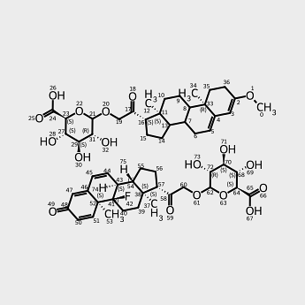 COC1=CC2=CCC3C(CC[C@@]4(C)C3CC[C@@H]4C(=O)COC3O[C@H](C(=O)O)[C@@H](O)[C@H](O)[C@H]3O)[C@@]2(C)CC1.C[C@]12CC[C@@]3(F)[C@@H](C=CC4=CC(=O)C=C[C@@]43C)[C@@H]1CC[C@@H]2C(=O)COC1O[C@H](C(=O)O)[C@@H](O)[C@H](O)[C@H]1O